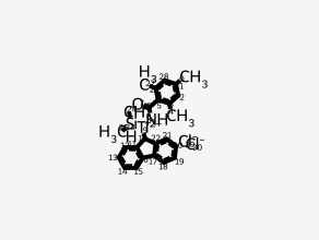 Cc1cc(C)c(C(=O)[NH][Ti+2]([CH]2c3ccccc3-c3ccccc32)[SiH](C)C)c(C)c1.[Cl-].[Cl-]